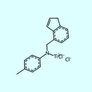 Cc1ccc([N]([Ti+2])Cc2cccc3c2C=CC3)cc1.[Cl-].[Cl-]